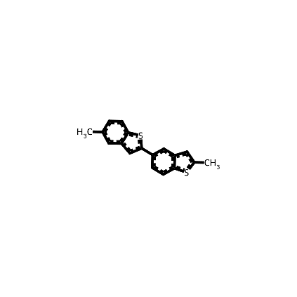 Cc1ccc2sc(-c3ccc4sc(C)cc4c3)cc2c1